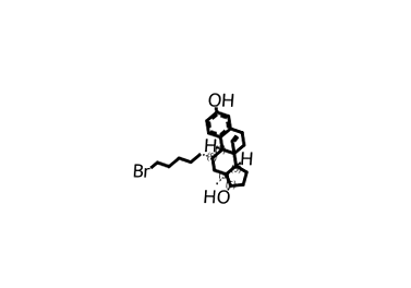 C=CC12CCc3cc(O)ccc3[C@H]1[C@@H](CCCCCBr)C[C@]1(C)[C@@H](O)CC[C@@H]21